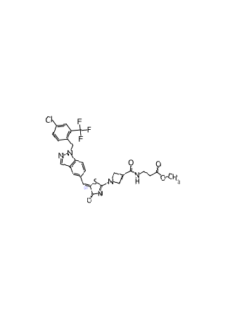 COC(=O)CCNC(=O)C1CN(C2=NC(=O)/C(=C/c3ccc4c(cnn4Cc4ccc(Cl)cc4C(F)(F)F)c3)S2)C1